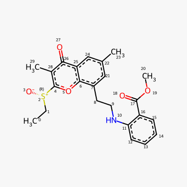 CC[S@+]([O-])c1oc2c(CCNc3ccccc3C(=O)OC)cc(C)cc2c(=O)c1C